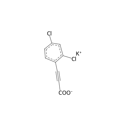 O=C([O-])C#Cc1ccc(Cl)cc1Cl.[K+]